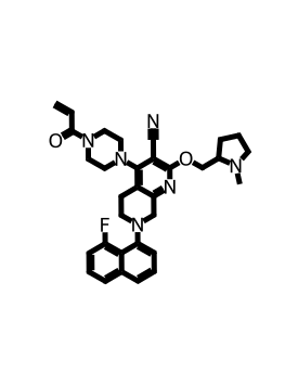 C=CC(=O)N1CCN(c2c(C#N)c(OCC3CCCN3C)nc3c2CCN(c2cccc4cccc(F)c24)C3)CC1